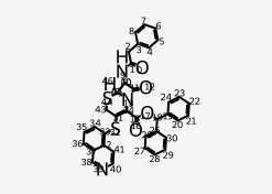 O=C(Cc1ccccc1)N[C@@H]1C(=O)N2C(C(=O)OC(c3ccccc3)c3ccccc3)=C(Sc3cccc4cnccc34)CS[C@@H]12